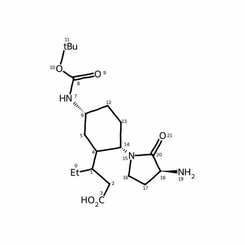 CCC(CC(=O)O)C1C[C@H](NC(=O)OC(C)(C)C)CC[C@@H]1N1CC[C@H](N)C1=O